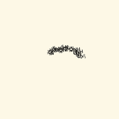 CC(C)(C)c1cc(NC(=O)Nc2ccc(-c3cn4c(n3)sc3nc(OCC5(Nc6ccccn6)CC5)ccc34)cc2)no1